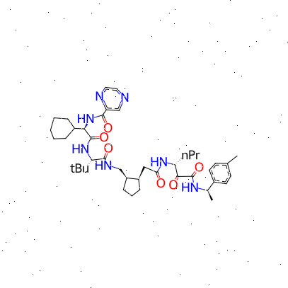 CCC[C@@H](NC(=O)C[C@H]1CCC[C@H]1CNC(=O)[C@@H](NC(=O)[C@H](NC(=O)c1cnccn1)C1CCCCC1)C(C)(C)C)C(=O)C(=O)N[C@H](C)c1ccc(C)cc1